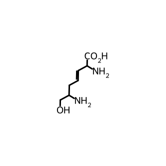 NC(CO)CC=CC(N)C(=O)O